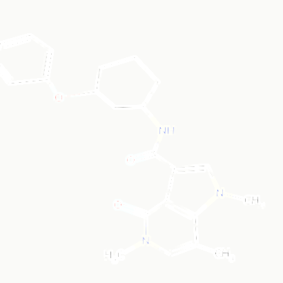 Cc1cn(C)c(=O)c2c(C(=O)NC3CCCC(Oc4ccccc4)C3)cn(C)c12